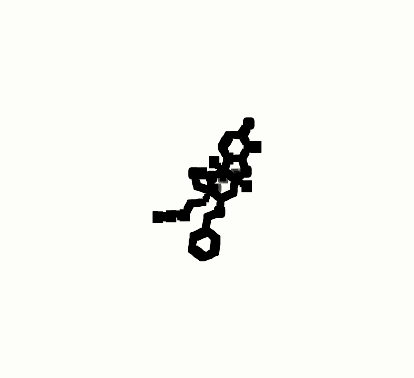 [N-]=[N+]=NCC[C@]1(CO)O[C@@H]2[C@H](CC1OCc1ccccc1)OC1NC(=O)C=CN12